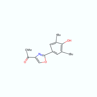 COC(=O)c1coc(-c2cc(C(C)(C)C)c(O)c(C(C)(C)C)c2)n1